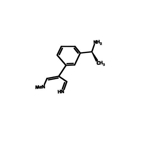 CN/C=C(\C=N)c1cccc([C@H](C)N)c1